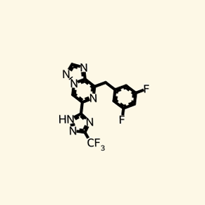 Fc1cc(F)cc(Cc2nc(-c3nc(C(F)(F)F)n[nH]3)cn3ncnc23)c1